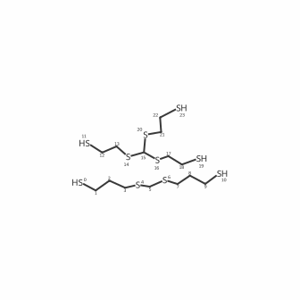 SCCCSCSCCCS.SCCSC(SCCS)SCCS